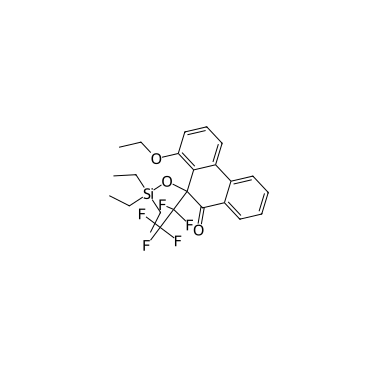 CCOc1cccc2c1C(O[Si](CC)(CC)CC)(C(F)(F)C(F)(F)F)C(=O)c1ccccc1-2